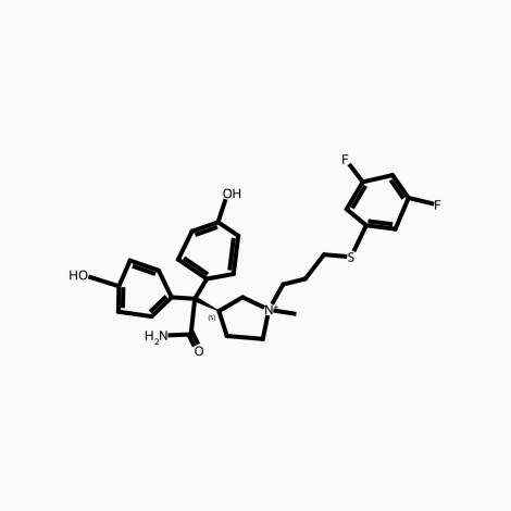 C[N+]1(CCCSc2cc(F)cc(F)c2)CC[C@@H](C(C(N)=O)(c2ccc(O)cc2)c2ccc(O)cc2)C1